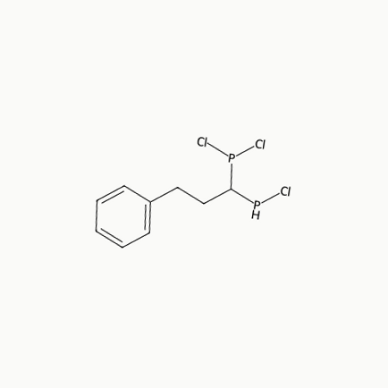 ClPC(CCc1ccccc1)P(Cl)Cl